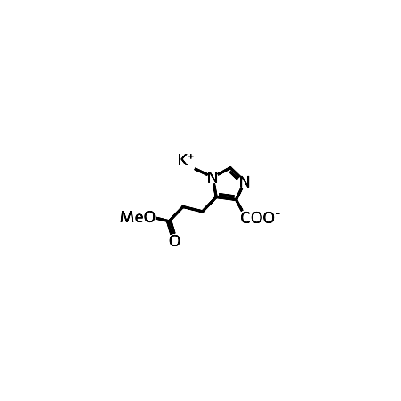 COC(=O)CCc1c(C(=O)[O-])ncn1C.[K+]